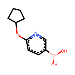 OB(O)c1ccc(OC2CCCC2)nc1